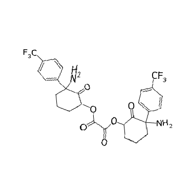 NC1(c2ccc(C(F)(F)F)cc2)CCCC(OC(=O)C(=O)OC2CCCC(N)(c3ccc(C(F)(F)F)cc3)C2=O)C1=O